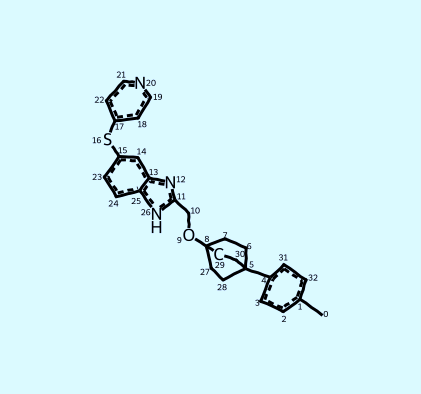 Cc1ccc(C23CCC(OCc4nc5cc(Sc6ccncc6)ccc5[nH]4)(CC2)CC3)cc1